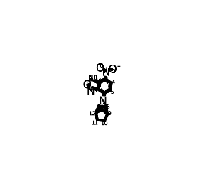 O=[N+]([O-])c1ccc(N2C3C4CCC(C4)C32)c2nonc12